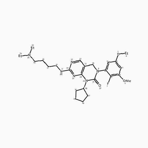 CCOc1cc(OC)c(F)c(N2Cc3cnc(NCCCCN(CC)CC)nc3N(C3CCCC3)C2=O)c1